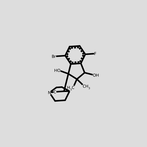 CC1(C)C(O)c2c(F)ccc(Br)c2C1(O)C1CN2CCC1CC2